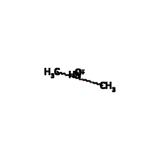 CCCCCCCCCCCCCCC(C=[NH+][O-])CCCCCCCCCCCC